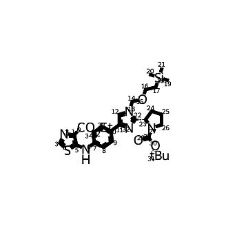 CCOC(=O)c1ncsc1Nc1ccc(-c2cn(COCC[Si](C)(C)C)c([C@@H]3CCCN3C(=O)OC(C)(C)C)n2)cc1